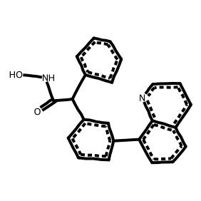 O=C(NO)C(c1ccccc1)c1cccc(-c2cccc3cccnc23)c1